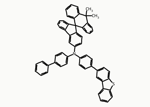 CC1(C)c2ccccc2C2(c3ccccc3-c3cc(N(c4ccc(-c5ccccc5)cc4)c4ccc(-c5ccc6sc7ccccc7c6c5)cc4)ccc32)c2ccccc21